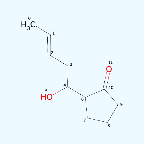 CC=CCC(O)C1CCCC1=O